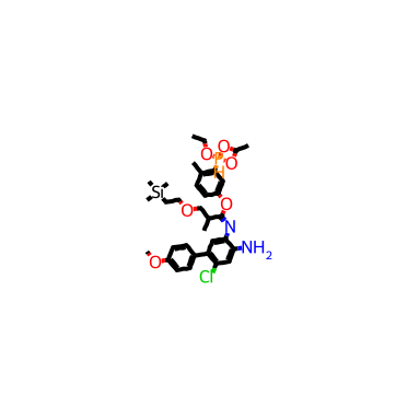 CCO[PH]1(c2cc(O/C(=N/c3cc(-c4ccc(OC)cc4)c(Cl)cc3N)C(C)COCC[Si](C)(C)C)ccc2C)OC(C)O1